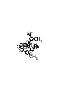 COc1ccc(-c2csc(C(=O)O)c2C)cc1-c1ccc(N2CCC2)nc1CN1C(=O)O[C@H](c2cc(C)cc(C(F)(F)F)c2)[C@@H]1C